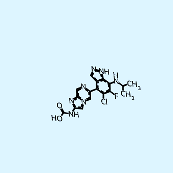 CC(C)Nc1c(F)c(Cl)c(-c2cn3cc(NC(=O)O)nc3cn2)c2cn[nH]c12